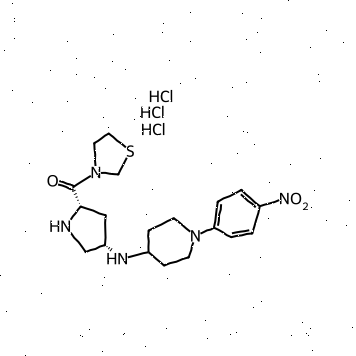 Cl.Cl.Cl.O=C([C@@H]1C[C@H](NC2CCN(c3ccc([N+](=O)[O-])cc3)CC2)CN1)N1CCSC1